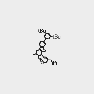 CC(C)CC1=CC2=[N+](CC3=C2c2sc4cc(-c5cc(C(C)(C)C)cc(C(C)(C)C)c5)ccc4c2CC3C)[C@@H](C)C1